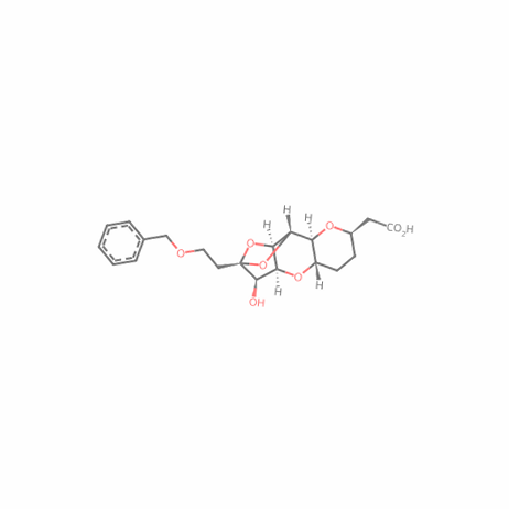 O=C(O)C[C@H]1CC[C@@H]2O[C@@H]3[C@H]4O[C@](CCOCc5ccccc5)(O[C@H]4[C@H]2O1)[C@@H]3O